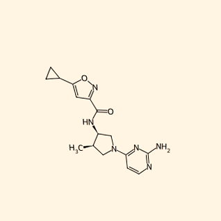 C[C@@H]1CN(c2ccnc(N)n2)C[C@@H]1NC(=O)c1cc(C2CC2)on1